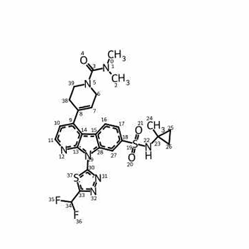 CN(C)C(=O)N1CC=C(c2ccnc3c2c2ccc(S(=O)(=O)NC4(C)CC4)cc2n3-c2nnc(C(F)F)s2)CC1